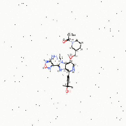 CCn1c(-c2nonc2N)nc2c(C#CC(C)(C)O)ncc(OCC3CCCN(C(=O)OCC(C)C)C3)c21